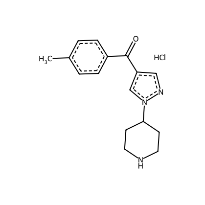 Cc1ccc(C(=O)c2cnn(C3CCNCC3)c2)cc1.Cl